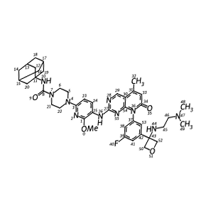 COc1nc(N2CCN(C(=O)NC34CC5CC(CC(C5)C3)C4)CC2)ccc1Nc1ncc2c(C)cc(=O)n(-c3cc(F)cc(C4(NCCN(C)C)COC4)c3)c2n1